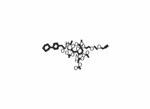 C#CCOCCOCCOC1(C(=O)OC)C[C@H](OC(C)=O)[C@@H](NC(=O)COC(C)=O)[C@H]([C@H](OC(C)=O)[C@@H](CNC(=O)Cc2ccc(-c3ccccc3)cc2)OC(C)=O)O1